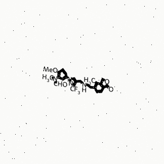 COc1ccc(-n2cc(CNCCc3ccc4c(c3C)COC4=O)c(C(F)(F)F)n2)cc1N(C)C=O